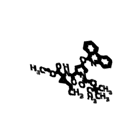 C=CC1CC1(NC(=O)C1CC(Oc2nc3ccccc3c3ccccc23)CN1C(=O)OC(C)(C)C)C(=O)OCC